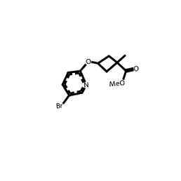 COC(=O)C1(C)CC(Oc2ccc(Br)cn2)C1